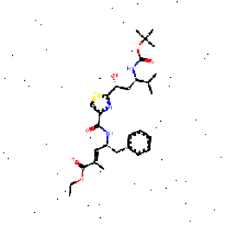 CCOC(=O)/C(C)=C/[C@H](Cc1ccccc1)NC(=O)c1csc([C@H](O)C[C@@H](NC(=O)OC(C)(C)C)C(C)C)n1